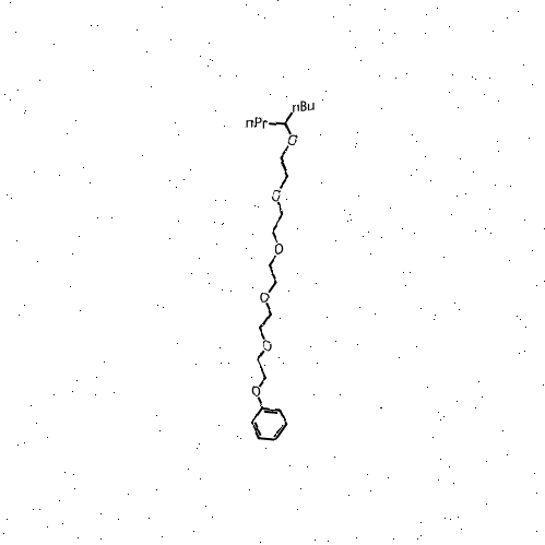 CCCCC(CCC)OCCOCCOCCOCCOCCOc1ccccc1